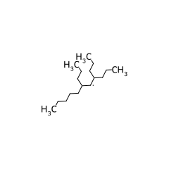 CCCCCC([CH]C(CCC)CCC)CCC